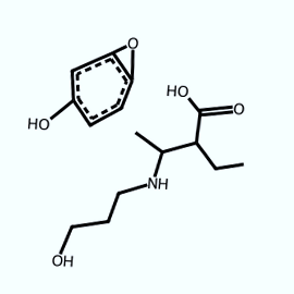 CCC(C(=O)O)C(C)NCCCO.Oc1ccc2c(c1)O2